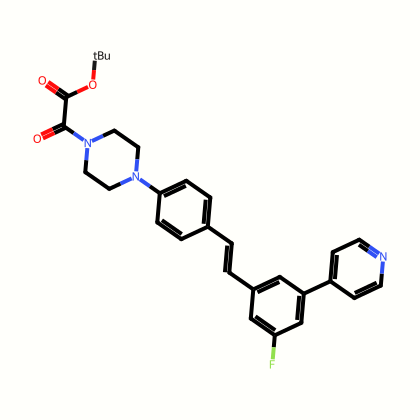 CC(C)(C)OC(=O)C(=O)N1CCN(c2ccc(C=Cc3cc(F)cc(-c4ccncc4)c3)cc2)CC1